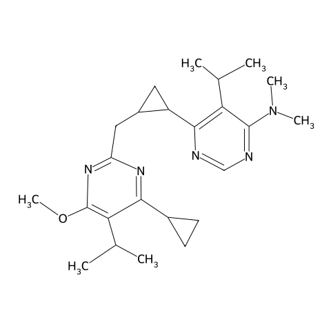 COc1nc(CC2CC2c2ncnc(N(C)C)c2C(C)C)nc(C2CC2)c1C(C)C